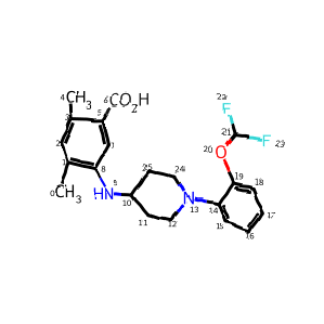 Cc1cc(C)c(C(=O)O)cc1NC1CCN(c2ccccc2OC(F)F)CC1